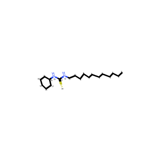 CCCCCCCCCCCCNC(=S)NC1CCCCC1